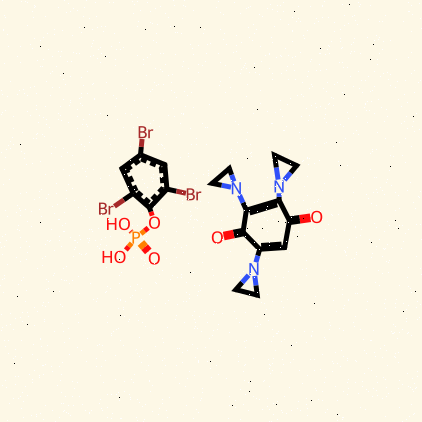 O=C1C=C(N2CC2)C(=O)C(N2CC2)=C1N1CC1.O=P(O)(O)Oc1c(Br)cc(Br)cc1Br